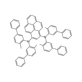 Cc1ccc(-c2ccccc2)cc1N(c1cc(-c2ccccc2)ccc1C)c1cc(N(c2cc(-c3ccccc3)ccc2C)c2cc(-c3ccccc3)ccc2C)c2ccc3cccc4ccc1c2c43